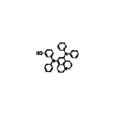 Oc1cccc(N(c2ccccc2)c2cc(N(c3ccccc3)c3ccccc3)c3c4c2CCCN4CCC3)c1